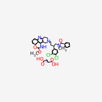 COC(=O)Nc1c2c(nc3ccccc13)CCN(CCC(CN(C)C(=O)c1ccccc1)c1ccc(Cl)c(Cl)c1)C2.O=C(O)/C=C/C(=O)O